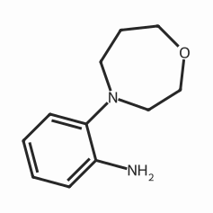 Nc1ccccc1N1CCCOCC1